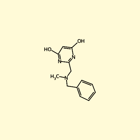 CN(Cc1ccccc1)Cc1nc(O)cc(O)n1